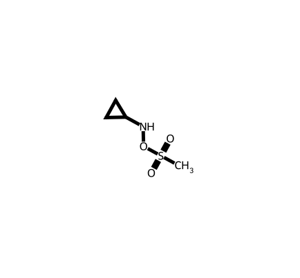 CS(=O)(=O)ONC1CC1